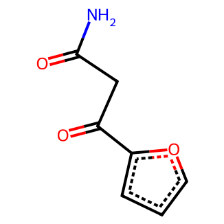 NC(=O)CC(=O)c1ccco1